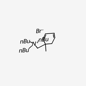 CCCC[N+](CCCC)(CCCC)CC1(C)C=CC=CC1.[Br-]